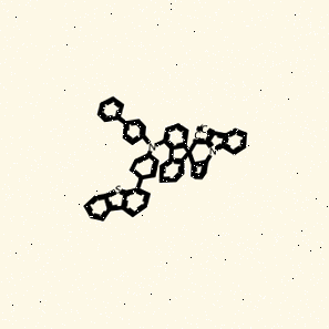 C1=CC(c2cccc3c2sc2ccccc23)CC=C1N(c1ccc(-c2ccccc2)cc1)c1cccc2c1-c1ccccc1C21c2ccccc2-n2c3ccccc3c3cccc1c32